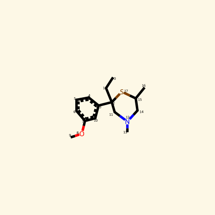 CCC1(c2cccc(OC)c2)CN(C)CC(C)S1